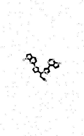 N#CCC(C1CCN(c2ccc3c(n2)[S+]([O-])CC3)C1)n1cc(-c2ncnc3[nH]ccc23)cn1